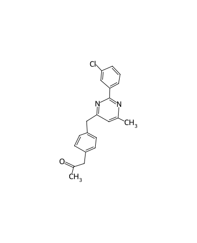 CC(=O)Cc1ccc(Cc2cc(C)nc(-c3cccc(Cl)c3)n2)cc1